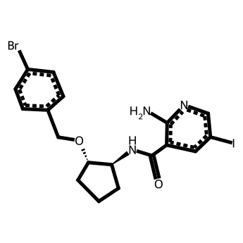 Nc1ncc(I)cc1C(=O)N[C@H]1CCC[C@@H]1OCc1ccc(Br)cc1